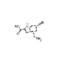 N#Cc1cc(CN)c2cc(C(=O)O)[nH]c2c1